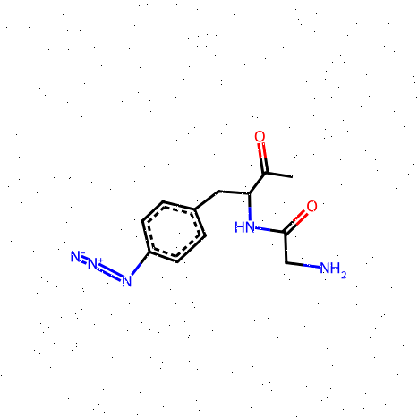 CC(=O)C(Cc1ccc(N=[N+]=[N-])cc1)NC(=O)CN